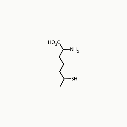 CC(S)CCCC(N)C(=O)O